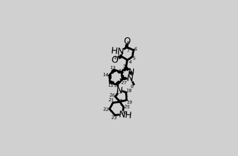 Cn1nc(C2CCC(=O)NC2=O)c2cccc(N3CCC4(CCCNC4)C3)c21